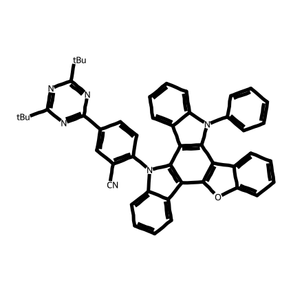 CC(C)(C)c1nc(-c2ccc(-n3c4ccccc4c4c5oc6ccccc6c5c5c(c6ccccc6n5-c5ccccc5)c43)c(C#N)c2)nc(C(C)(C)C)n1